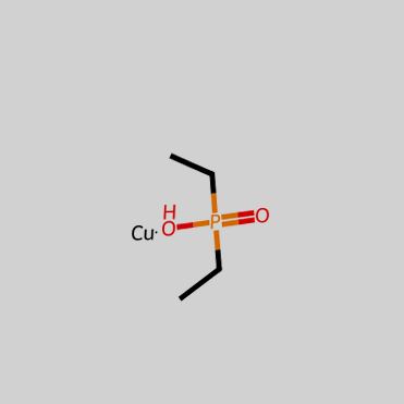 CCP(=O)(O)CC.[Cu]